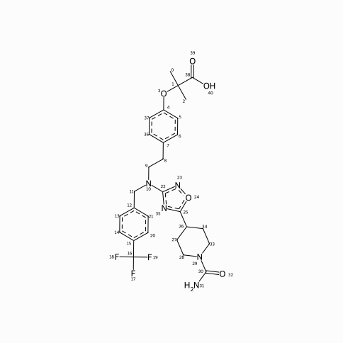 CC(C)(Oc1ccc(CCN(Cc2ccc(C(F)(F)F)cc2)c2noc(C3CCN(C(N)=O)CC3)n2)cc1)C(=O)O